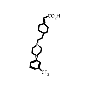 O=C(O)C=C1CCC(CCN2CCN(c3cccc(C(F)(F)F)c3)CC2)CC1